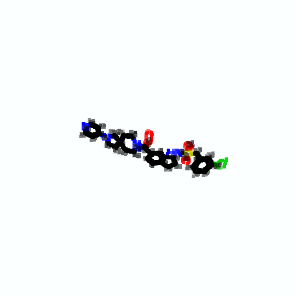 O=C(c1ccc2c(c1)C(NS(=O)(=O)Cc1cccc(Cl)c1)CC2)N1CCC2(CC1)CCN(c1ccncc1)C2